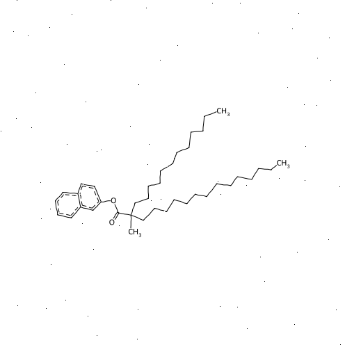 CCCCCCCCCCCCCCC(C)(CCCCCCCCCCCC)C(=O)Oc1ccc2ccccc2c1